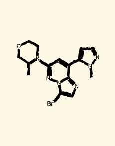 CC1COCCN1c1cc(-c2ccnn2C)c2ncc(Br)n2n1